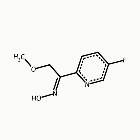 COC/C(=N\O)c1ccc(F)cn1